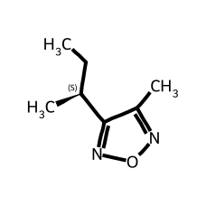 CC[C@H](C)c1nonc1C